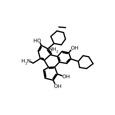 CC.NCc1cc(O)c(C2CCCCC2)cc1-c1ccc(O)c(O)c1-c1cc(C2CCCCC2)c(O)cc1CN